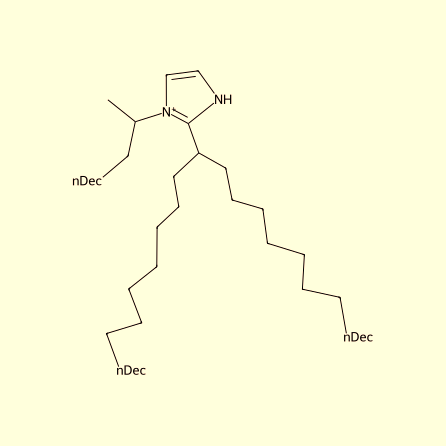 CCCCCCCCCCCCCCCCCC(CCCCCCCCCCCCCCCCC)c1[nH]cc[n+]1C(C)CCCCCCCCCCC